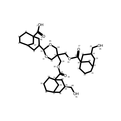 O=C(O)C12CCCC(CC(C3OCC(COC(=O)C45CCCC(CC(CO)C4)C5)(COC(=O)C45CCCC(C[C@H](CO)C4)C5)CO3)C1)C2